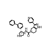 O=C(N[C@H]1CNC[C@@H]1c1cccc(-c2ccccc2)c1)N1CCc2[nH]nc(-c3ccncc3)c2C1